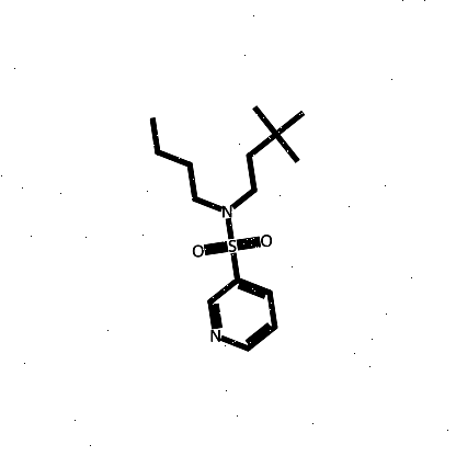 CCCCN(CCC(C)(C)C)S(=O)(=O)c1cccnc1